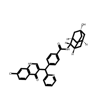 O=C(N[C@@H]1[C@@H]2C[C@@H]3C[C@H]1C[C@](O)(C3)C2)c1ccc(C(c2ccccn2)c2c[nH]c3cc(Cl)ccc3c2=O)cc1